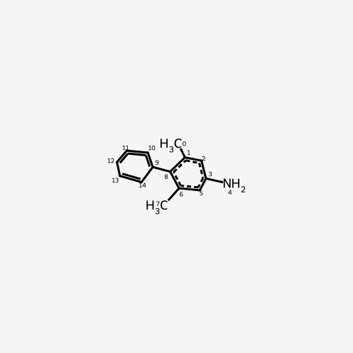 Cc1cc(N)cc(C)c1C1=C=C=CC=C1